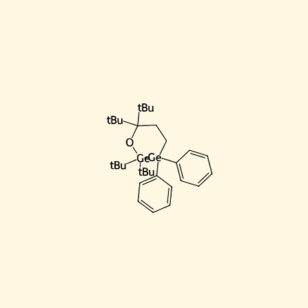 CC(C)(C)C1(C(C)(C)C)C[CH2][Ge]([c]2ccccc2)([c]2ccccc2)[Ge]([C](C)(C)C)([C](C)(C)C)[O]1